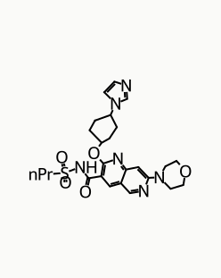 CCCS(=O)(=O)NC(=O)c1cc2cnc(N3CCOCC3)cc2nc1OC1CCC(n2ccnc2)CC1